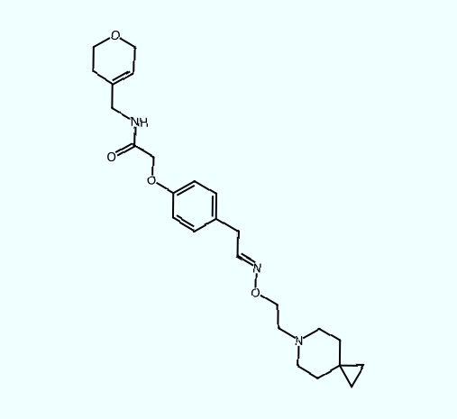 O=C(COc1ccc(CC=NOCCN2CCC3(CC2)CC3)cc1)NCC1=CCOCC1